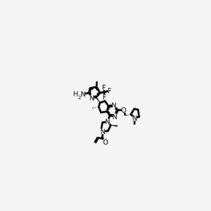 C=CC(=O)N1CCN(c2nc(OC[C@@H]3CCCN3C)nc3c2C[C@H](C)[C@@H](c2nc(N)cc(C)c2C(F)(F)F)C3)[C@@H](C)C1